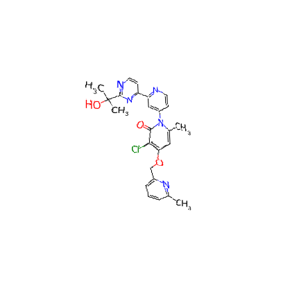 Cc1cccc(COc2cc(C)n(-c3ccnc(-c4ccnc(C(C)(C)O)n4)c3)c(=O)c2Cl)n1